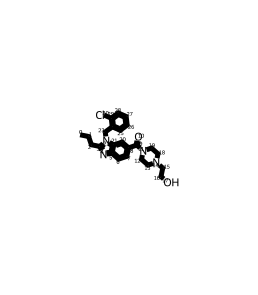 CCCc1nc2ccc(C(=O)N3CCN(CCO)CC3)cc2n1Cc1ccccc1Cl